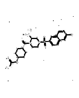 CCOC(=O)C1CN(S(=O)(=O)c2ccc3cc(Cl)ccc3c2)CCN1C(=O)[C@H]1CC[C@H](NC(C)=N)CC1.Cl